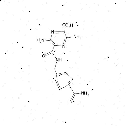 N=C(N)c1ccc(CNC(=O)c2nc(N)c(C(=O)O)nc2N)cc1